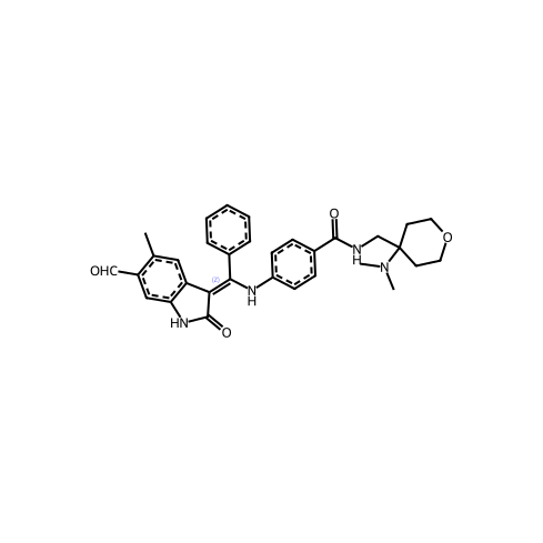 Cc1cc2c(cc1C=O)NC(=O)/C2=C(\Nc1ccc(C(=O)NCC2(N(C)C)CCOCC2)cc1)c1ccccc1